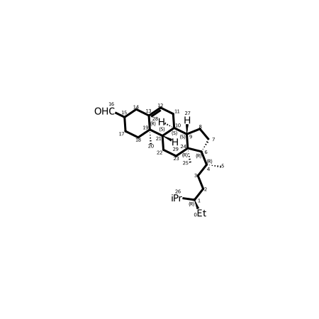 CC[C@H](CC[C@@H](C)[C@H]1CC[C@H]2[C@@H]3CC=C4CC(C=O)CC[C@]4(C)[C@H]3CC[C@]12C)C(C)C